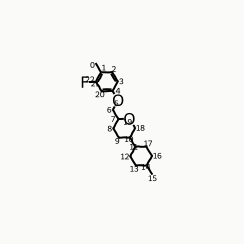 Cc1ccc(OCC2CCC(C3CCC(C)CC3)CO2)cc1F